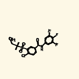 CC(C)(CO)S(=O)(=O)c1cc(C(=O)Nc2cc(F)c(F)c(F)c2)ccc1Cl